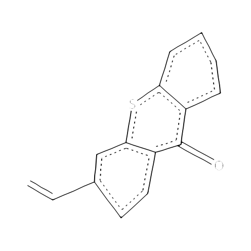 C=Cc1ccc2c(=O)c3ccccc3sc2c1